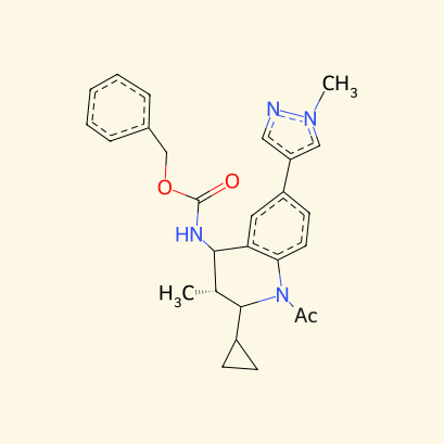 CC(=O)N1c2ccc(-c3cnn(C)c3)cc2C(NC(=O)OCc2ccccc2)[C@@H](C)C1C1CC1